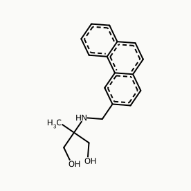 CC(CO)(CO)NCc1ccc2ccc3ccccc3c2c1